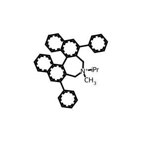 CC(C)[N+]1(C)Cc2c(-c3ccccc3)cc3ccccc3c2-c2c(c(-c3ccccc3)cc3ccccc23)C1